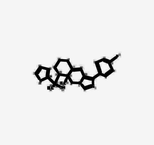 C[C@]12Cn3cnc(-c4ccc(F)cc4)c3C=C1CCC[C@@H]2[C@](C)(O)c1cccs1